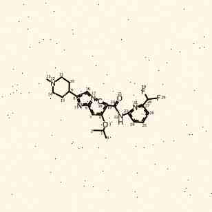 CC(C)Oc1cc2nc(C3CCN(C)CC3)cn2cc1C(=O)Nc1cccc(C(F)F)n1